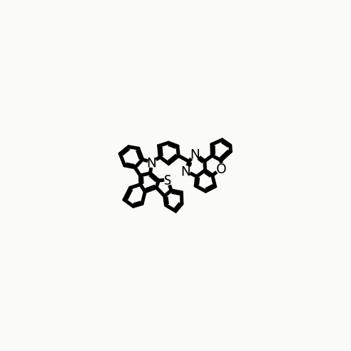 c1cc(-c2nc3c4c(cccc4n2)Oc2ccccc2-3)cc(-n2c3ccccc3c3c4ccccc4c4c5ccccc5sc4c32)c1